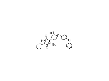 CCCCN1C(=O)C(C2CCCCC2)NC(=O)C1C1CCN(Cc2ccc(Oc3ccccc3)cc2)CC1.Cl